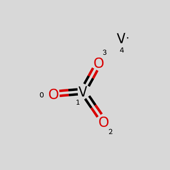 [O]=[V](=[O])=[O].[V]